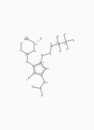 CCN(Cc1c(I)c(OC(C)C)nn1CCO[Si](C)(C)C(C)(C)C)C[C@@H](C)O